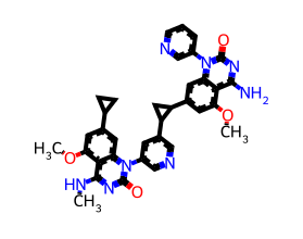 CNc1nc(=O)n(-c2cncc(C3CC3c3cc(OC)c4c(N)nc(=O)n(-c5cccnc5)c4c3)c2)c2cc(C3CC3)cc(OC)c12